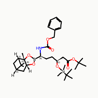 CC(C)(C)OC(=O)C[C@H](CC[C@H](NC(=O)OCc1ccccc1)B1O[C@@H]2C[C@@H]3C[C@@H](C3(C)C)[C@]2(C)O1)O[Si](C)(C)C(C)(C)C